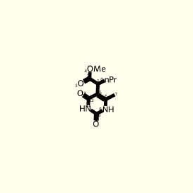 CCCC(C(=O)OC)c1c(C)[nH]c(=O)[nH]c1=O